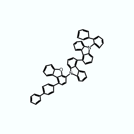 c1ccc(-c2ccc(-c3ccc(-n4c5ccccc5c5c(-c6cccc7c6c6ccccc6n7-c6ccccc6-c6ccccc6)cccc54)c4oc5ccccc5c34)cc2)cc1